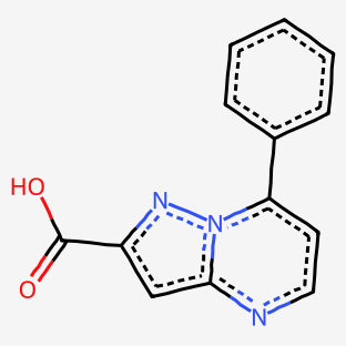 O=C(O)c1cc2nccc(-c3ccccc3)n2n1